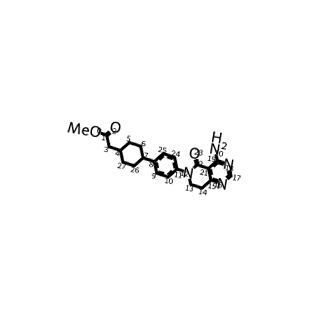 COC(=O)CC1CCC(c2ccc(N3CCc4ncnc(N)c4C3=O)cc2)CC1